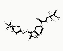 CC(C)(COC(=O)c1ccc2c(c1)C(=NNc1ccc(S(N)(=O)=O)cc1)C(=O)N2)C(N)=O